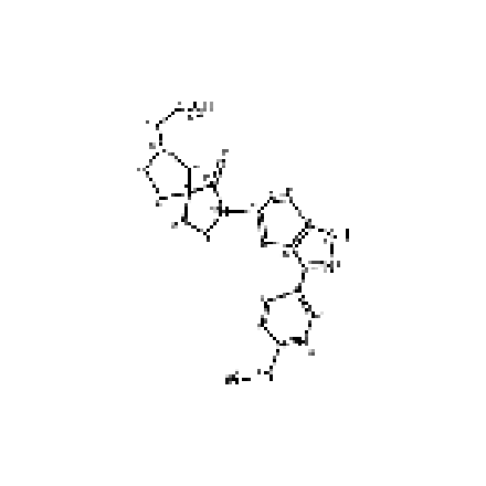 CC(C)Oc1ccc(-c2n[nH]c3ccc(N4CC[C@]5(CCN(CC(=O)O)C5)C4=O)cc23)cn1